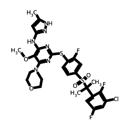 COc1c(Nc2cc(C)[nH]n2)nc(Sc2ccc(S(=O)(=O)C(C)(C)c3cc(F)cc(Cl)c3F)cc2F)nc1N1CCOCC1